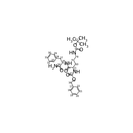 CC(C)(C)OC(=O)NCCCC(NC(=O)OCc1ccccc1)C(=O)NC(Cc1ccccc1)C(N)=O